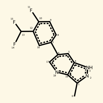 Cc1n[nH]c2cc(-c3ccc(F)c(C(F)F)c3)cnc12